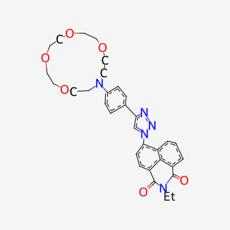 CCN1C(=O)c2cccc3c(-n4cc(-c5ccc(N6CCOCCOCCOCCOCC6)cc5)nn4)ccc(c23)C1=O